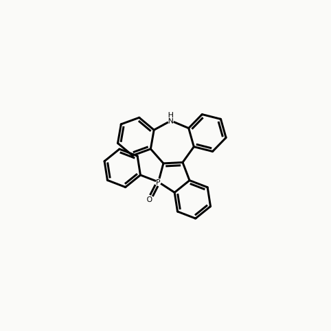 O=P1(c2ccccc2)C2=C(c3ccccc3Nc3ccccc32)c2ccccc21